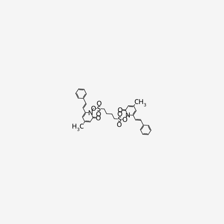 Cc1cc(C=Cc2ccccc2)n(OS(=O)(=O)CCCCS(=O)(=O)On2c(C=Cc3ccccc3)cc(C)cc2=O)c(=O)c1